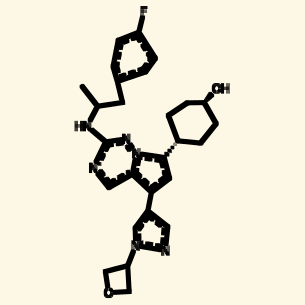 CC(Cc1ccc(F)cc1)Nc1ncc2c(-c3cnn(C4COC4)c3)cc([C@H]3CC[C@H](O)CC3)n2n1